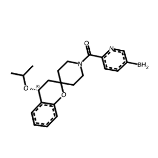 Bc1ccc(C(=O)N2CCC3(CC2)C[C@@H](OC(C)C)c2ccccc2O3)nc1